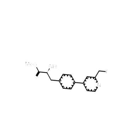 COC(=O)[C@@H](N)Cc1ccc(-c2ccnc(CF)c2)cc1